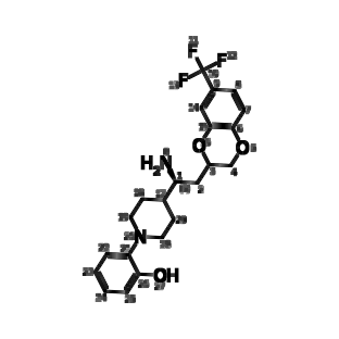 N[C@@H](CC1COc2ccc(C(F)(F)F)cc2O1)C1CCN(c2ccccc2O)CC1